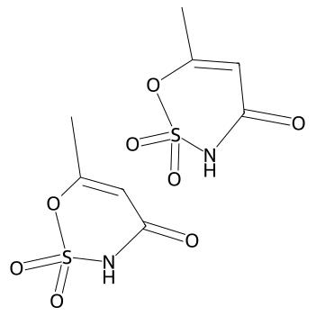 CC1=CC(=O)NS(=O)(=O)O1.CC1=CC(=O)NS(=O)(=O)O1